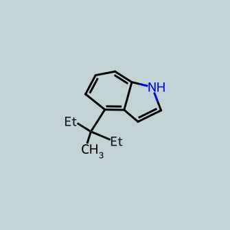 CCC(C)(CC)c1cccc2[nH]ccc12